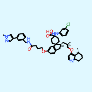 C[C@@H](COc1ccnc2c1[C@H](C)CCC2)C[C@H]1Cc2ccc(OCCCC(=O)NCc3cccc(-c4cnn(C)c4)c3)cc2C12CCC(Nc1cccc(Cl)c1)(C(=O)O)CC2